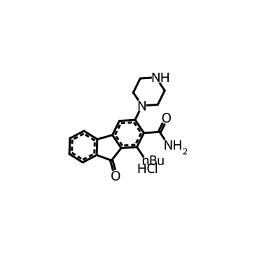 CCCCc1c2c(cc(N3CCNCC3)c1C(N)=O)-c1ccccc1C2=O.Cl